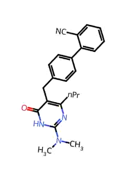 CCCc1nc(N(C)C)[nH]c(=O)c1Cc1ccc(-c2ccccc2C#N)cc1